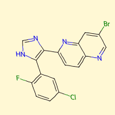 Fc1ccc(Cl)cc1-c1[nH]cnc1-c1ccc2ncc(Br)cc2n1